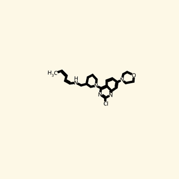 C/C=C\C=C/NCC1CCCN(c2nc(Cl)nc3cc(N4CCOCC4)ccc23)C1